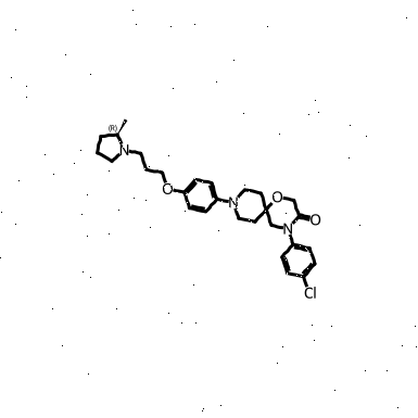 C[C@@H]1CCCN1CCCOc1ccc(N2CCC3(CC2)CN(c2ccc(Cl)cc2)C(=O)CO3)cc1